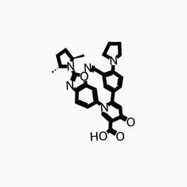 C[C@@H]1CC[C@@H](C)N1c1nc2ccc(-n3cc(C(=O)O)c(=O)cc3-c3ccc(N4CCCC4)c(C#N)c3)cc2o1